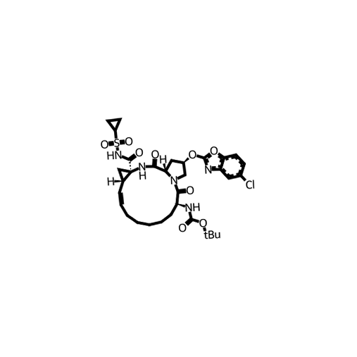 CC(C)(C)OC(=O)N[C@H]1CCCCC/C=C\[C@@H]2C[C@@]2(C(=O)NS(=O)(=O)C2CC2)NC(=O)[C@@H]2C[C@@H](Oc3nc4cc(Cl)ccc4o3)CN2C1=O